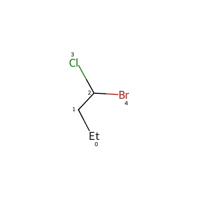 [CH2]CCC(Cl)Br